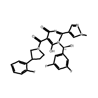 CC[C@@H](c1cc(F)cc(F)c1)n1c(-c2cnn(C)c2)nc(=O)c(C(=O)N2CCC(c3ccccc3F)C2)c1O